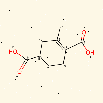 CC1=C(C(=O)O)CCC(C(=O)O)C1